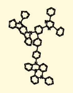 c1ccc(-c2cc(-c3ccccc3)nc(-c3ccc(-n4c5ccccc5c5cc6c7ccccc7n(-c7ccccc7)c6cc54)c(-c4ccc(-c5ccc(N6c7ccccc7B7c8ccccc8N(c8ccccc8)c8cccc6c87)cc5)cc4)c3)n2)cc1